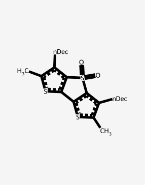 CCCCCCCCCCc1c(C)sc2c1S(=O)(=O)c1c-2sc(C)c1CCCCCCCCCC